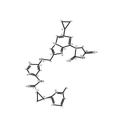 Cc1ccnc([C@H]2C[C@@H]2C(=O)Nc2cc(NCc3cn4cc(C5CC5)cc(N5CC(=O)NC5=O)c4n3)ncn2)n1